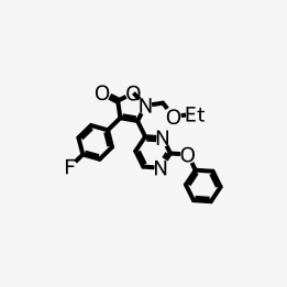 CCOCn1oc(=O)c(-c2ccc(F)cc2)c1-c1ccnc(Oc2ccccc2)n1